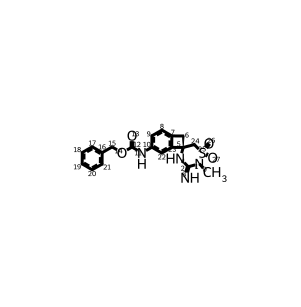 CN1C(=N)N[C@@]2(Cc3ccc(NC(=O)OCc4ccccc4)cc32)CS1(=O)=O